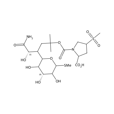 CSC1OC(C(CC(C)(C)OC(=O)N2CC(S(C)(=O)=O)CC2C(=O)O)[C@H](O)C(N)=O)C(O)[C@@H](O)C1O